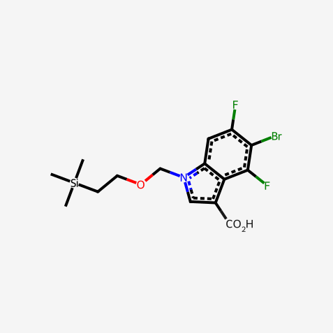 C[Si](C)(C)CCOCn1cc(C(=O)O)c2c(F)c(Br)c(F)cc21